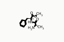 COC(=O)[C@H](Cc1ccccc1)NC(=O)[C@H](C)N